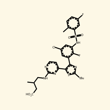 Cc1ccc(F)cc1S(=O)(=O)Nc1cc(Cl)cc(-c2nc(C(C)(C)C)sc2-c2ccnc(NCC(C)CC(=O)O)n2)c1F